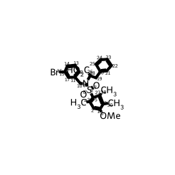 COc1cc(C)c(S(=O)(=O)N(Cc2cccc(Br)c2)C(Cc2ccccc2)C(=O)O)c(C)c1C